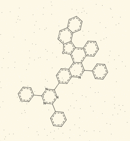 c1ccc(-c2nc(-c3ccccc3)nc(-c3ccc4c(c3)nc(-c3ccccc3)c3c5ccccc5c5c(oc6ccc7ccccc7c65)c43)n2)cc1